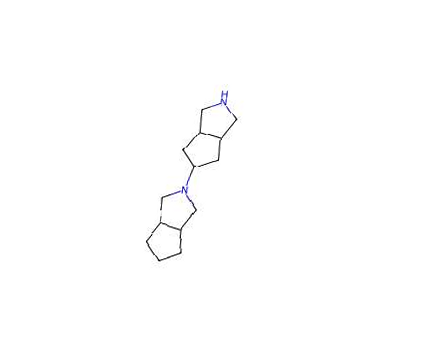 C1CC2CN(C3CC4CNCC4C3)CC2C1